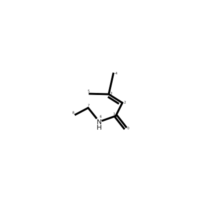 C=C(C=C(C)C)NCC